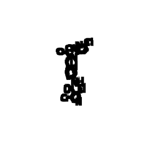 O=C(Nc1ccc(CC(Nc2ccc(Cl)nn2)C(=O)O)cc1)c1c(Cl)cncc1Cl